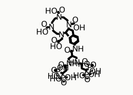 CC1C(Cc2ccc(NC(=O)C(CNC(=O)CC(P(=O)(O)O)P(=O)(O)O)CNC(=O)CC(P(=O)(O)O)P(=O)(O)O)cc2)N(C(=O)O)CCN(C(=O)O)CCN(C(=O)O)CCN1CC(=O)O